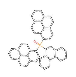 O=P(c1cc2ccccc2c2ccccc12)(c1ccc2ccc3cccc4ccc1c2c34)c1ccc2ccc3cccc4ccc1c2c34